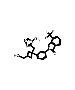 Cn1cnnc1CC1(c2cccc(N3Cc4c(cccc4C(F)(F)F)C3=O)c2)CC(CO)C1